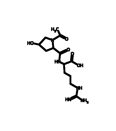 CC(=O)N1CC(O)CC1C(=O)NC(CCCNC(=N)N)C(=O)O